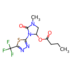 CCCC(=O)OC1CN(C)C(=O)N1c1nnc(C(F)(F)F)s1